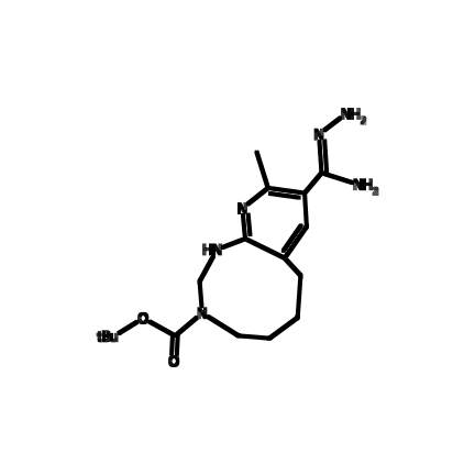 Cc1nc2c(cc1/C(N)=N/N)CCCCN(C(=O)OC(C)(C)C)CN2